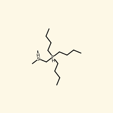 CCCC[PH](CCCC)(CCCC)C[SiH](C)C